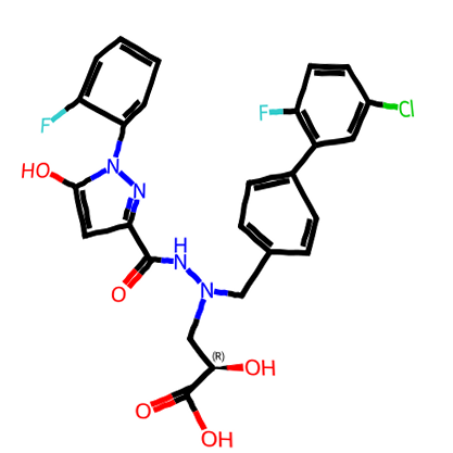 O=C(NN(Cc1ccc(-c2cc(Cl)ccc2F)cc1)C[C@@H](O)C(=O)O)c1cc(O)n(-c2ccccc2F)n1